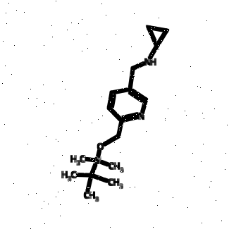 CC(C)(C)[Si](C)(C)OCc1ccc(CNC2CC2)cn1